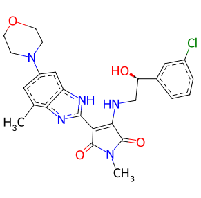 Cc1cc(N2CCOCC2)cc2[nH]c(C3=C(NC[C@@H](O)c4cccc(Cl)c4)C(=O)N(C)C3=O)nc12